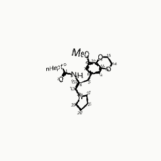 CCCCCCCC(=O)N[C@@H](Cc1cc(OC)c2c(c1)OCCO2)CN1CCCC1